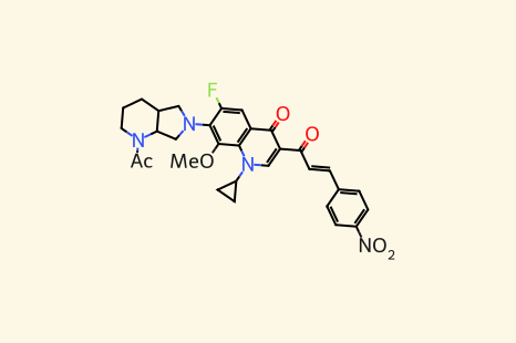 COc1c(N2CC3CCCN(C(C)=O)C3C2)c(F)cc2c(=O)c(C(=O)C=Cc3ccc([N+](=O)[O-])cc3)cn(C3CC3)c12